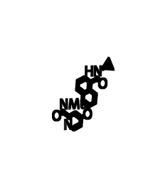 CNC(=O)c1cc(Oc2ccc3c(C(=O)NC4CC4)cccc3c2)ccn1